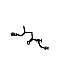 CC(C)CNC(=O)CC(C)CC(C)(C)C